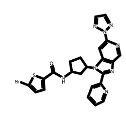 O=C(NC1CCC(n2c(-c3ccccn3)nc3cnc(-n4nccn4)cc32)C1)c1ccc(Br)s1